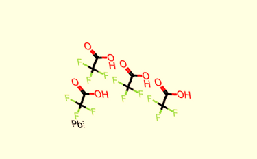 O=C(O)C(F)(F)F.O=C(O)C(F)(F)F.O=C(O)C(F)(F)F.O=C(O)C(F)(F)F.[Pb]